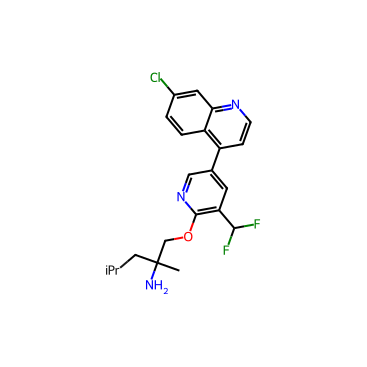 CC(C)CC(C)(N)COc1ncc(-c2ccnc3cc(Cl)ccc23)cc1C(F)F